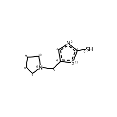 Sc1ncc(CN2CCCC2)s1